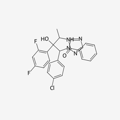 CC(NC(=O)c1ccccc1)C(O)(c1ccc(F)cc1F)C(c1ccc(Cl)cc1)n1cncn1